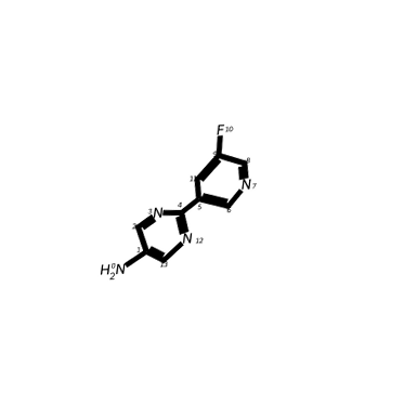 Nc1cnc(-c2cncc(F)c2)nc1